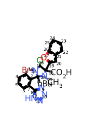 CCCCC1(c2ccccc2-c2nnn[nH]2)N(Br)C(Cl)C(C(=O)O)(c2cc3ccccc3o2)N1C